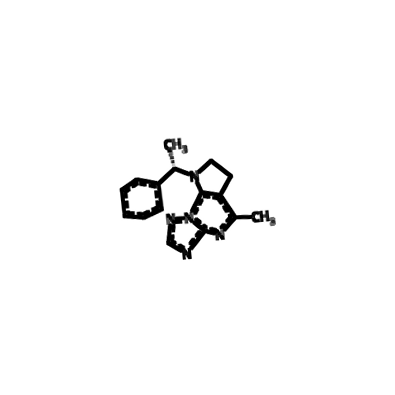 Cc1nc2ncnn2c2c1CCN2[C@@H](C)c1ccccc1